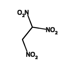 O=[N+]([O-])CC([N+](=O)[O-])[N+](=O)[O-]